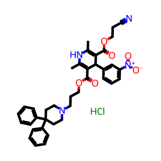 CC1=C(C(=O)OCCC#N)C(c2cccc([N+](=O)[O-])c2)C(C(=O)OCCCN2CCC(c3ccccc3)(c3ccccc3)CC2)=C(C)N1.Cl